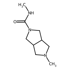 CNC(=O)N1CC2CN(C)CC2C1